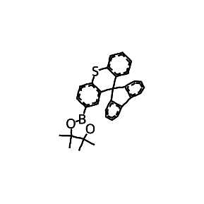 CC1(C)OB(c2ccc3c(c2)C2(c4ccccc4S3)c3ccccc3-c3ccccc32)OC1(C)C